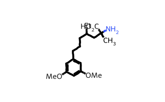 CCC(CCCc1cc(OC)cc(OC)c1)CC(C)(N)C(=O)O